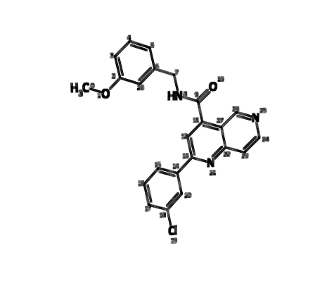 COc1cccc(CNC(=O)c2cc(-c3cccc(Cl)c3)nc3ccncc23)c1